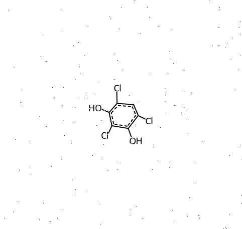 Oc1c(Cl)cc(Cl)c(O)c1Cl